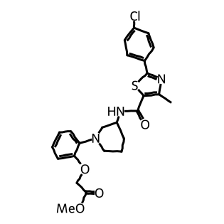 COC(=O)COc1ccccc1N1CCCC(NC(=O)c2sc(-c3ccc(Cl)cc3)nc2C)C1